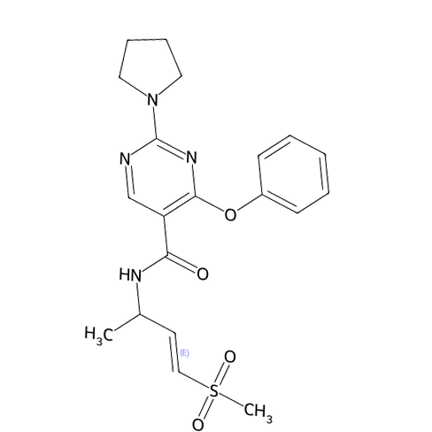 CC(/C=C/S(C)(=O)=O)NC(=O)c1cnc(N2CCCC2)nc1Oc1ccccc1